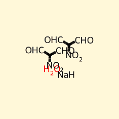 O.O=CC(C=O)[N+](=O)[O-].O=CC(C=O)[N+](=O)[O-].[NaH]